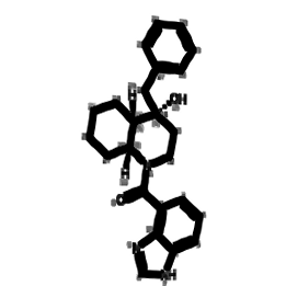 O=C(c1cccc2[nH]cnc12)N1CC[C@](O)(Cc2ccccc2)[C@H]2CCCC[C@H]21